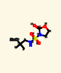 COC(C)(C)CNS(=O)(=O)N1CCOC1=O